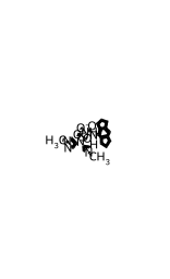 CN1CC(N(c2cnn(C)c2)S(=O)(=O)[NH+]([O-])C(=O)Nc2c3c(cc4c2CCC4)CCC3)C1